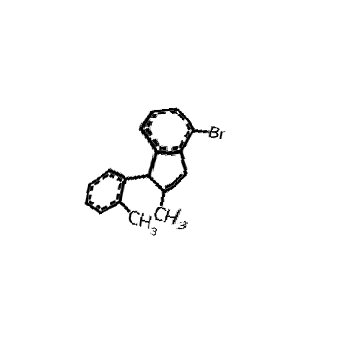 CC1=Cc2c(Br)cccc2C1c1ccccc1C